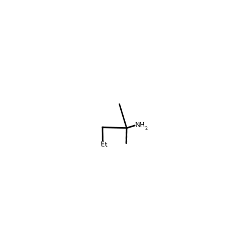 CCCC(C)(C)N